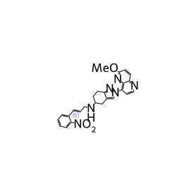 COc1ccc2nccc(-n3cc4c(n3)CCC(NC/C=C/c3ccccc3[N+](=O)[O-])C4)c2n1